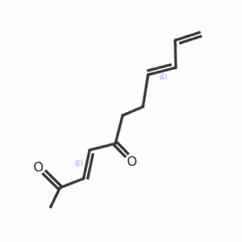 C=C/C=C/CCC(=O)/C=C/C(C)=O